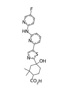 CC1(C)CC(O)(c2ncc(-c3cccc(Nc4ccc(F)cn4)n3)s2)CCC1C(=O)O